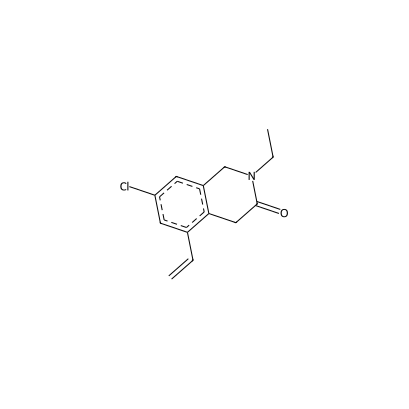 C=Cc1cc(Cl)cc2c1CC(=O)N(CC)C2